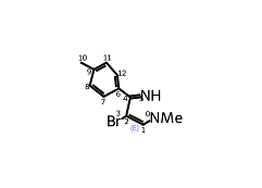 CN/C=C(/Br)C(=N)c1ccc(C)cc1